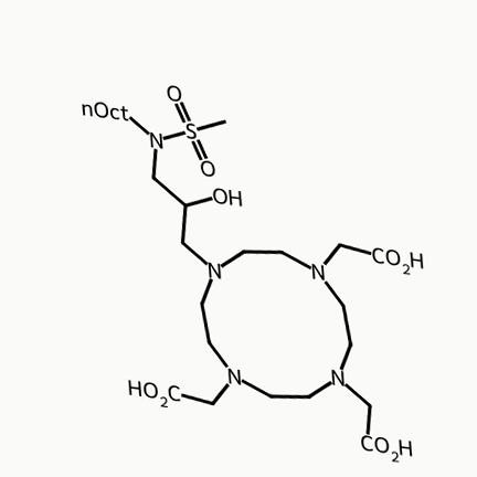 CCCCCCCCN(CC(O)CN1CCN(CC(=O)O)CCN(CC(=O)O)CCN(CC(=O)O)CC1)S(C)(=O)=O